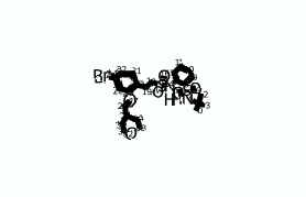 CC(C)(C)NS(=O)(=O)c1ccccc1NS(=O)(=O)CCc1ccc(Br)cc1OCC1CCOCC1